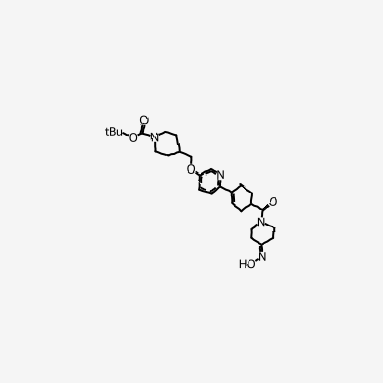 CC(C)(C)OC(=O)N1CCC(COc2ccc(C3=CCC(C(=O)N4CCC(=NO)CC4)CC3)nc2)CC1